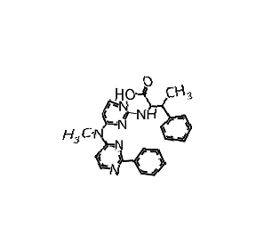 CC(c1ccccc1)C(Nc1nccc(N(C)c2ccnc(-c3ccccc3)n2)n1)C(=O)O